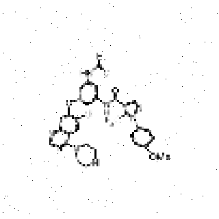 CCC(=O)Nc1cc(NC(=O)c2cnn(-c3ccc(OC)cc3)c2C(F)(F)F)cc(Oc2cc3ncnc(N4CCNCC4)c3cc2Cl)c1